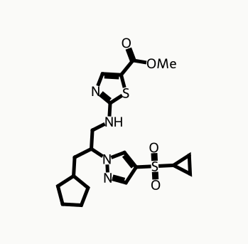 COC(=O)c1cnc(NCC(CC2CCCC2)n2cc(S(=O)(=O)C3CC3)cn2)s1